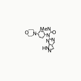 CNC(=O)N(c1ccc(N2CCOCC2)cc1)c1ncc2cn[nH]c2n1